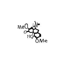 COC1=C[C@@H]2[C@@H](N(C)C)Cc3ccc(OC)c(O)c3[C@]2(C)CC1=O